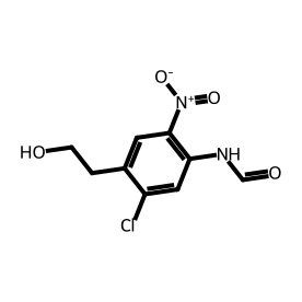 O=CNc1cc(Cl)c(CCO)cc1[N+](=O)[O-]